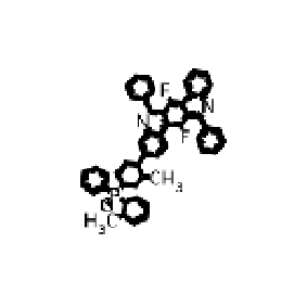 CC1C=C(P(=O)(c2ccccc2)C2C=CC=CC2C)C=CC1c1ccc2c(c1)nc(-c1ccccc1)c1c(F)c3c(c(-c4ccccc4)nc4ccccc43)c(F)c12